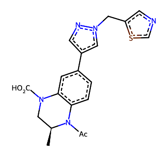 CC(=O)N1c2ccc(-c3cnn(Cc4cncs4)c3)cc2N(C(=O)O)C[C@@H]1C